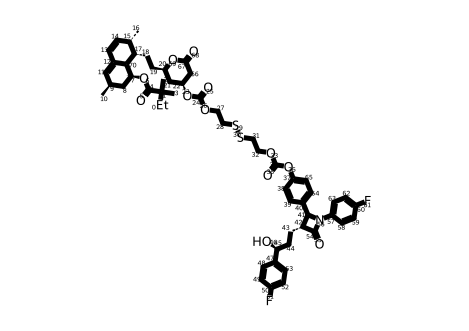 CCC(C)(C)C(=O)O[C@H]1C[C@@H](C)C=C2C=C[C@H](C)[C@H](CC[C@@H]3C[C@@H](OC(=O)OCCSSCCOC(=O)Oc4ccc(C5[C@@H](CC[C@H](O)c6ccc(F)cc6)C(=O)N5c5ccc(F)cc5)cc4)CC(=O)O3)C21